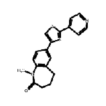 CN1C(=O)CCCc2cc(-c3csc(-c4ccncc4)n3)ccc21